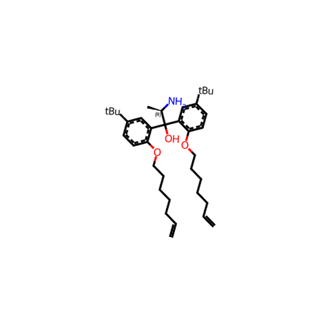 C=CCCCCCOc1ccc(C(C)(C)C)cc1C(O)(c1cc(C(C)(C)C)ccc1OCCCCCC=C)[C@@H](C)N